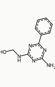 Nc1nc(NCO)nc(-c2ccccc2)n1